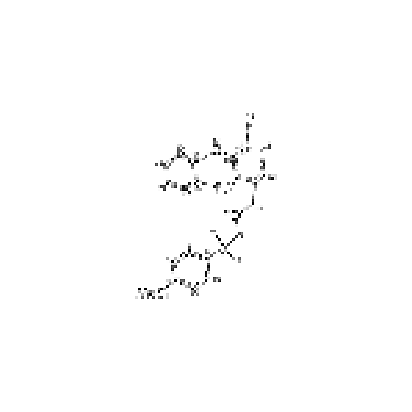 CSc1ccc(C(C)(C)COCc2ccc(F)c(Oc3ccccc3F)c2)cc1